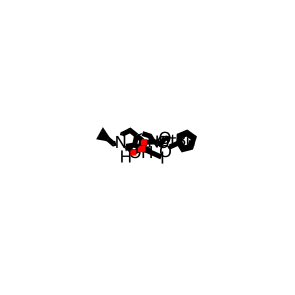 CC(C)(C)OC(=O)N1CC[C@]23CCN(CC4CC4)[C@H](Cc4cc(I)c(OCc5ccccc5)cc42)[C@]3(O)CC1